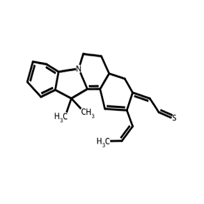 C/C=C\C1=CC2=C3N(CCC2C/C1=C/C=S)c1ccccc1C3(C)C